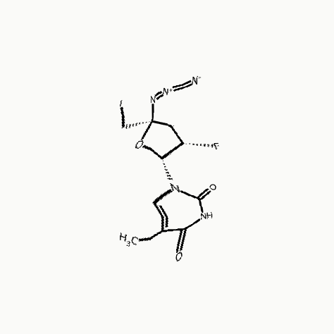 Cc1cn([C@@H]2O[C@@](CI)(N=[N+]=[N-])[CH][C@@H]2F)c(=O)[nH]c1=O